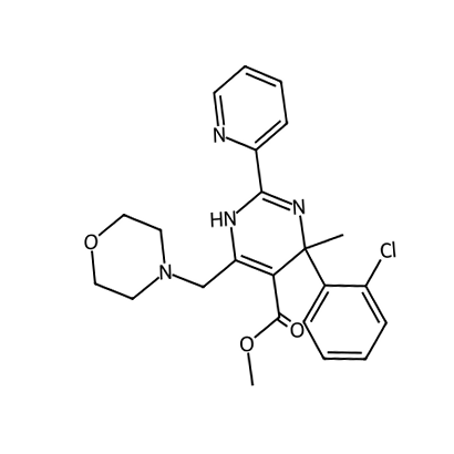 COC(=O)C1=C(CN2CCOCC2)NC(c2ccccn2)=NC1(C)c1ccccc1Cl